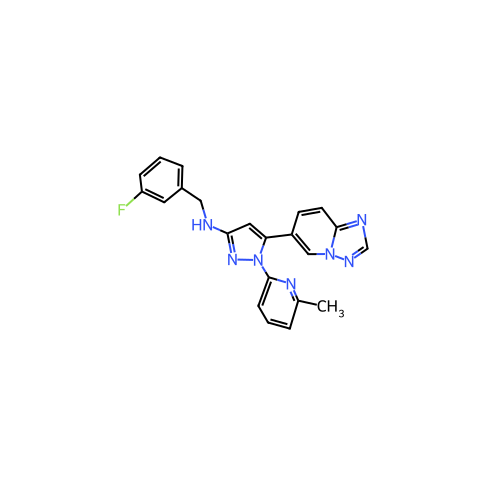 Cc1cccc(-n2nc(NCc3cccc(F)c3)cc2-c2ccc3ncnn3c2)n1